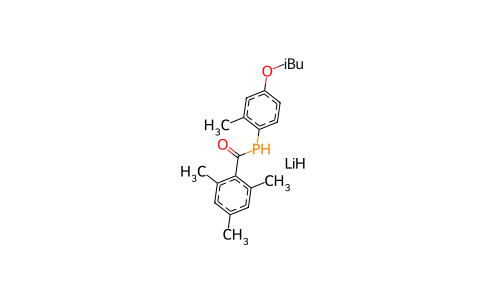 CCC(C)Oc1ccc(PC(=O)c2c(C)cc(C)cc2C)c(C)c1.[LiH]